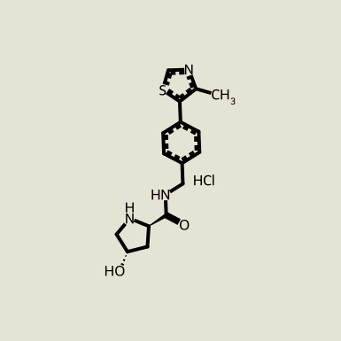 Cc1ncsc1-c1ccc(CNC(=O)[C@H]2C[C@H](O)CN2)cc1.Cl